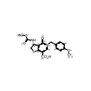 CC(C)(C)OC(=O)N[C@H]1CSc2c(C(=O)O)cn(Cc3ccc(OC(F)(F)F)cc3)c(=O)c21